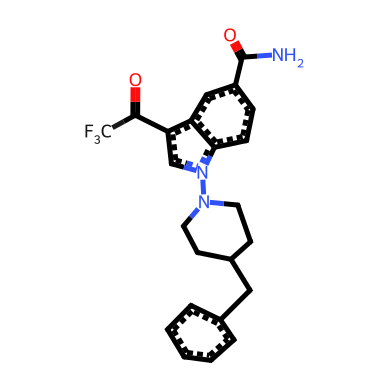 NC(=O)c1ccc2c(c1)c(C(=O)C(F)(F)F)cn2N1CCC(Cc2ccccc2)CC1